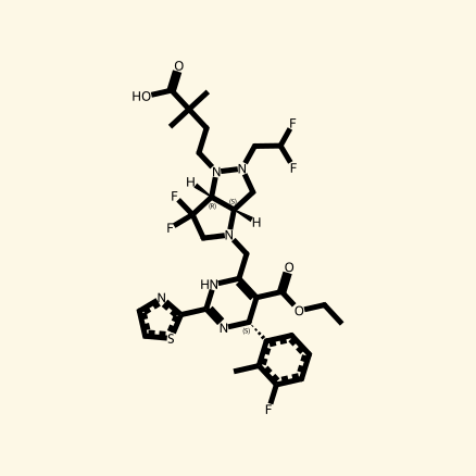 CCOC(=O)C1=C(CN2CC(F)(F)[C@H]3[C@@H]2CN(CC(F)F)N3CCC(C)(C)C(=O)O)NC(c2nccs2)=N[C@H]1c1cccc(F)c1C